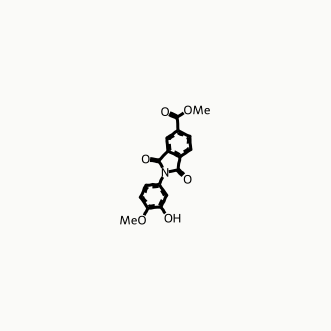 COC(=O)c1ccc2c(c1)C(=O)N(c1ccc(OC)c(O)c1)C2=O